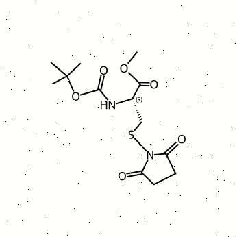 COC(=O)[C@H](CSN1C(=O)CCC1=O)NC(=O)OC(C)(C)C